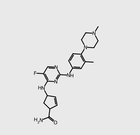 Cc1cc(Nc2ncc(F)c(NC3C=CC(C(N)=O)C3)n2)ccc1N1CCN(C)CC1